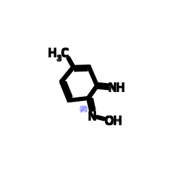 CC1=CC(=N)/C(=N\O)C=C1